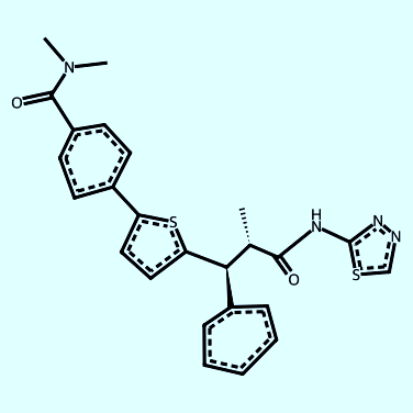 C[C@H](C(=O)Nc1nncs1)[C@@H](c1ccccc1)c1ccc(-c2ccc(C(=O)N(C)C)cc2)s1